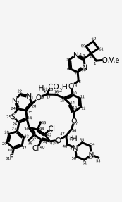 COCC1(c2nccc(COc3ccc4cc3C[C@H](C(=O)O)Oc3ncnc5sc(-c6ccc(F)cc6)c(c35)-c3c(C)c(Cl)c(c(Cl)c3C)O[C@H](CN3CCN(C)CC3)CO4)n2)CCC1